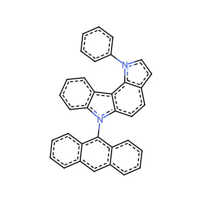 c1ccc(-n2ccc3ccc4c(c5ccccc5n4-c4c5ccccc5cc5ccccc45)c32)cc1